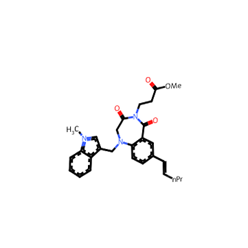 CCCC=Cc1ccc2c(c1)C(=O)N(CCC(=O)OC)C(=O)CN2Cc1cn(C)c2ccccc12